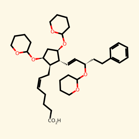 O=C(O)CCC/C=C\C[C@@H]1[C@@H](/C=C/[C@H](CCc2ccccc2)OC2CCCCO2)[C@H](OC2CCCCO2)C[C@@H]1OC1CCCCO1